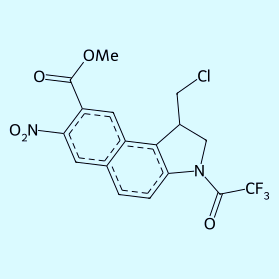 COC(=O)c1cc2c3c(ccc2cc1[N+](=O)[O-])N(C(=O)C(F)(F)F)CC3CCl